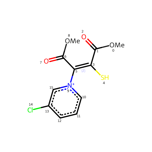 COC(=O)/C(S)=C(\C(=O)OC)[n+]1cccc(Cl)c1